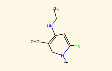 [2H]N1CC(C=O)=C(NCC(F)(F)F)C=C1Cl